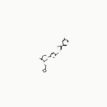 COc1cncc(-c2cn(Cc3ccc(N4CCC(F)(F)C(NCC5CCC5)C4)nn3)nn2)c1